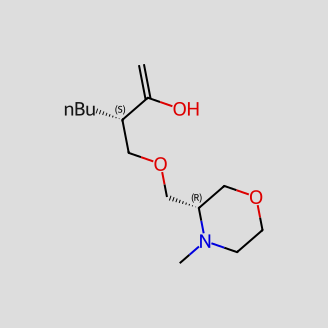 C=C(O)[C@@H](CCCC)COC[C@@H]1COCCN1C